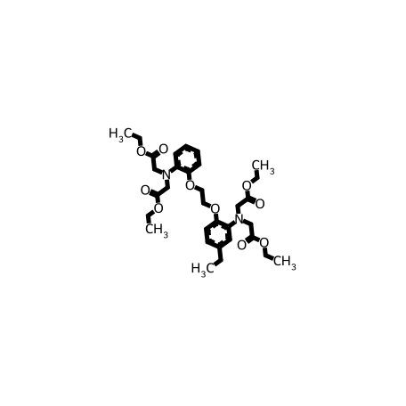 CCOC(=O)CN(CC(=O)OCC)c1ccccc1OCCOc1ccc(CC)cc1N(CC(=O)OCC)CC(=O)OCC